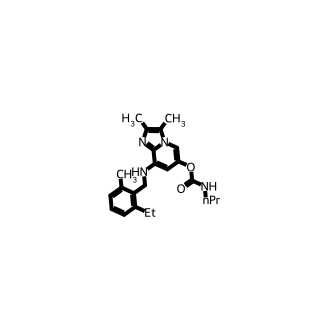 CCCNC(=O)Oc1cc(NCc2c(C)cccc2CC)c2nc(C)c(C)n2c1